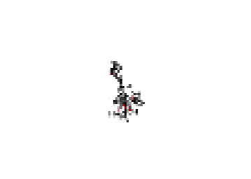 CSC[C@H](NC(=O)[C@H](CC(=O)O)NC(=O)[C@H](CC(=O)O)NC(=O)[C@H](CCCNC(=N)N)NC(=O)[C@H](CC(=O)O)NC(=O)CC[C@@H](C)NC(=O)c1ccc(NCc2cnc3nc(N)[nH]c(=O)c3n2)cc1)C(=O)O